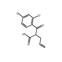 C=CCN(C(=O)S)C(=O)c1ccc(Cl)cc1Cl